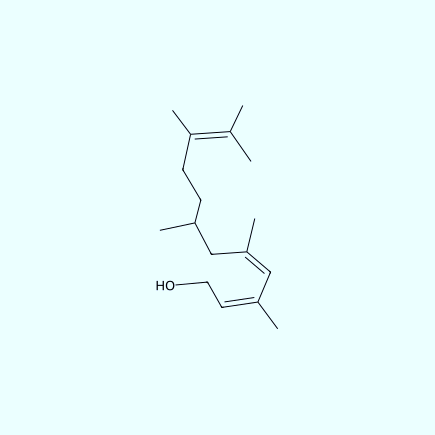 CC(=CCO)C=C(C)CC(C)CCC(C)=C(C)C